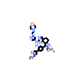 CC(C)n1cc(-c2ccc(-c3c4c(nn3C)CCc3cnc(Nc5cnn(CCN6CCOCC6)c5)nc3-4)cc2)cn1